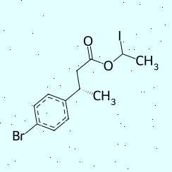 CC(I)OC(=O)C[C@H](C)c1ccc(Br)cc1